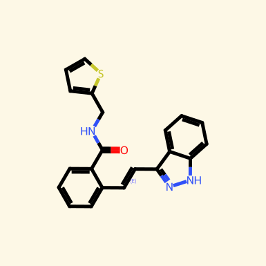 O=C(NCc1cccs1)c1ccccc1/C=C/c1n[nH]c2ccccc12